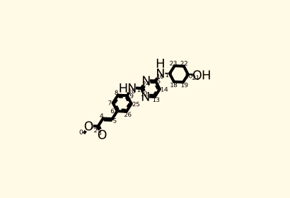 COC(=O)/C=C/c1ccc(Nc2nccc(N[C@H]3CC[C@H](O)CC3)n2)cc1